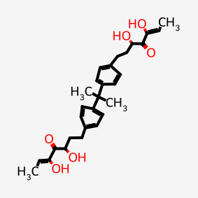 CC=C(O)C(=O)C(O)CCc1ccc(C(C)(C)c2ccc(CCC(O)C(=O)C(O)=CC)cc2)cc1